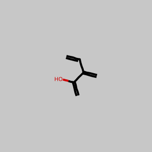 C=CC(=C)C(=C)O